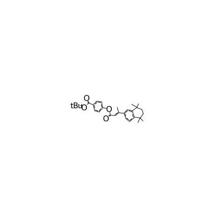 CC(=CC(=O)Oc1ccc(C(=O)OC(C)(C)C)cc1)c1ccc2c(c1)C(C)(C)CCC2(C)C